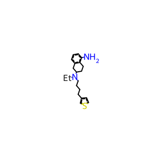 CCN(CCCCc1ccsc1)C1CCc2c(N)cccc2C1